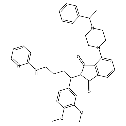 COc1ccc(C(CCCNc2ccccn2)N2C(=O)c3cccc(N4CCN(C(C)c5ccccc5)CC4)c3C2=O)cc1OC